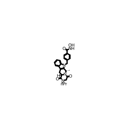 CCCN1CC(=O)N2[C@@H](Cc3c(n(Cc4ccc(C(=O)NO)cc4)c4ccccc34)[C@@H]2C)C1=O